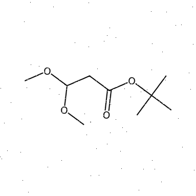 COC(CC(=O)OC(C)(C)C)OC